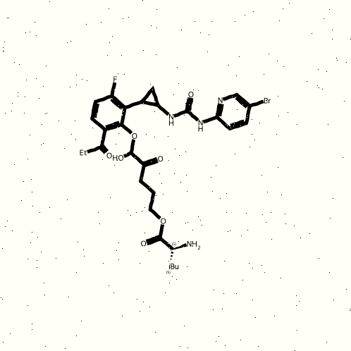 CCC(=O)c1ccc(F)c(C2CC2NC(=O)Nc2ccc(Br)cn2)c1OC(O)C(=O)CCCOC(=O)[C@@H](N)[C@@H](C)CC